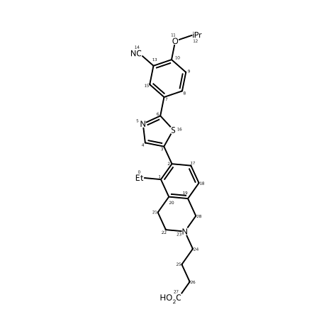 CCc1c(-c2cnc(-c3ccc(OC(C)C)c(C#N)c3)s2)ccc2c1CCN(CCCC(=O)O)C2